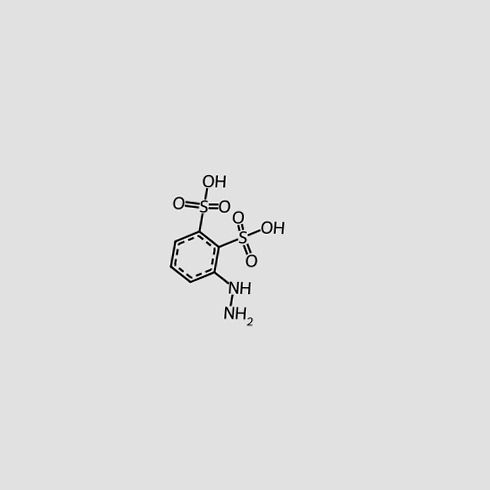 NNc1cccc(S(=O)(=O)O)c1S(=O)(=O)O